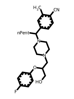 CCCCCC(c1ccc(C#N)c(C)c1)N1CCN(CC(CO)Oc2ccc(F)cc2)CC1